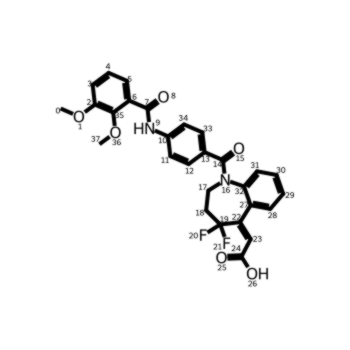 COc1cccc(C(=O)Nc2ccc(C(=O)N3CCC(F)(F)C(=CC(=O)O)c4ccccc43)cc2)c1OC